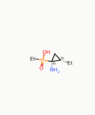 CC[C@H]1C[C@]1(N)P(=O)(O)CC